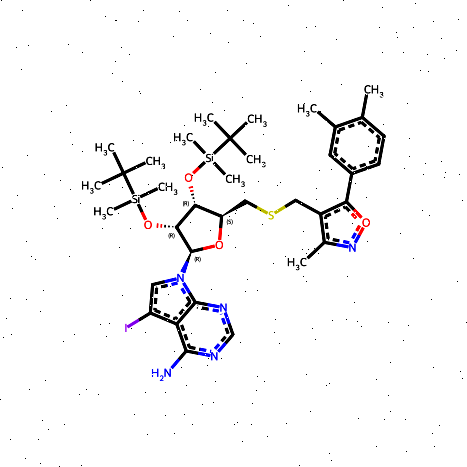 Cc1ccc(-c2onc(C)c2CSC[C@H]2O[C@@H](n3cc(I)c4c(N)ncnc43)[C@H](O[Si](C)(C)C(C)(C)C)[C@@H]2O[Si](C)(C)C(C)(C)C)cc1C